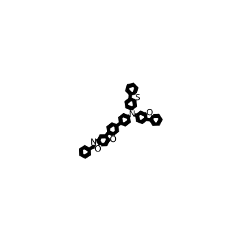 c1ccc(-c2nc3cc4c(cc3o2)oc2cc(-c3ccc(N(c5ccc6c(c5)oc5ccccc56)c5ccc6c(c5)sc5ccccc56)cc3)ccc24)cc1